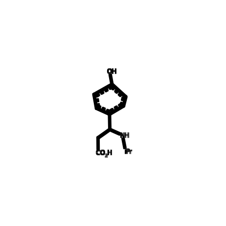 CC(C)NC(CC(=O)O)c1ccc(O)cc1